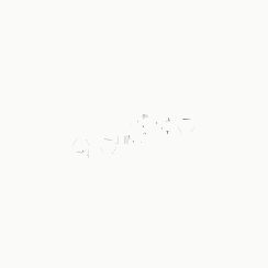 CC(C)C(=O)N1[C@H](C)CN(S(=O)(=O)c2ccccc2)C[C@@H]1C(=O)NCc1ccc(-c2ccccn2)cc1